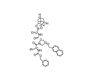 CC[C@H](NC(=O)[C@@H]1C[C@@H](OCc2ccc3ccccc3c2)CN1C(=O)[C@@H](NC(=O)OCc1ccccc1)C(C)C)B1OC2C[C@@H]3C[C@@H](C3(C)C)[C@]2(C)O1